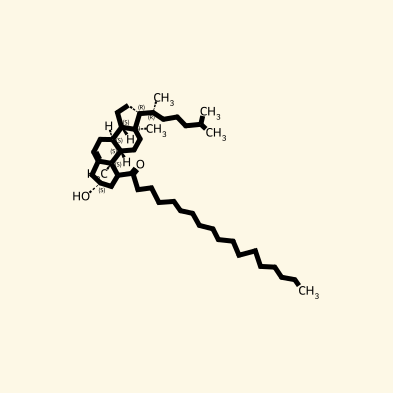 CCCCCCCCCCCCCCCCCC(=O)C1C[C@H](O)CC2=CC[C@H]3[C@@H]4CC[C@H]([C@H](C)CCCC(C)C)[C@@]4(C)CC[C@@H]3[C@]21C